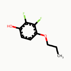 CCCOc1ccc(O)c(F)c1F